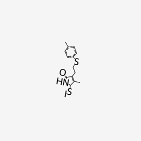 CC1=C(CCSc2ccc(C)cc2)C(=O)NC1SI